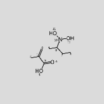 C=C(C)C(=O)O.CCC(C)N(O)O